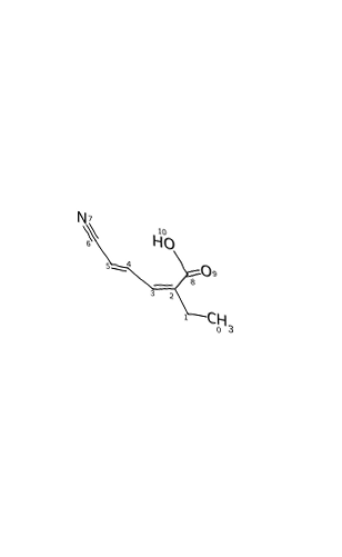 CCC(=CC=CC#N)C(=O)O